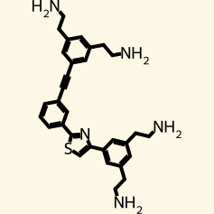 NCCc1cc(C#Cc2cccc(-c3nc(-c4cc(CCN)cc(CCN)c4)cs3)c2)cc(CCN)c1